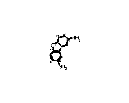 NC1=CC2c3cc(N)ccc3OC2C=C1